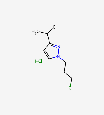 CC(C)c1ccn(CCCCl)n1.Cl